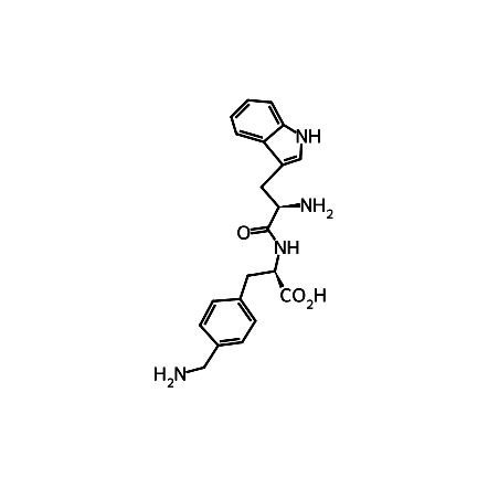 NCc1ccc(C[C@@H](NC(=O)[C@H](N)Cc2c[nH]c3ccccc23)C(=O)O)cc1